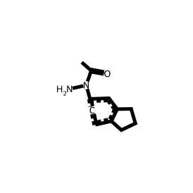 CC(=O)N(N)c1ccc2c(c1)CCC2